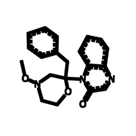 CON1CCOC(Cc2ccccc2)(n2c(=O)cnc3ccccc32)C1